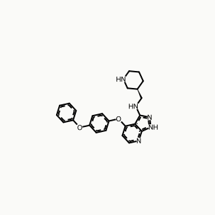 c1ccc(Oc2ccc(Oc3ccnc4[nH]nc(NC[C@@H]5CCCNC5)c34)cc2)cc1